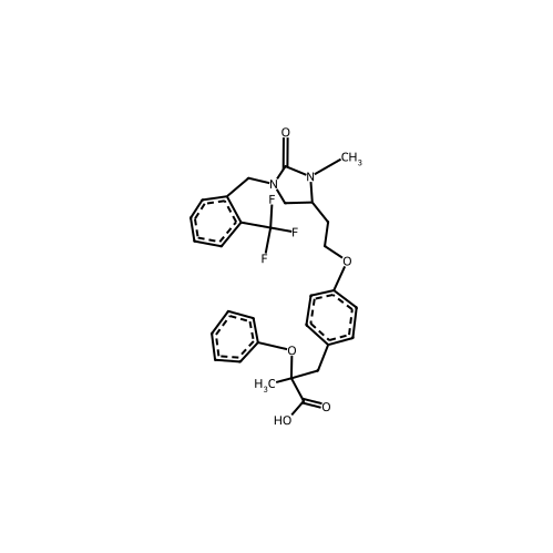 CN1C(=O)N(Cc2ccccc2C(F)(F)F)CC1CCOc1ccc(CC(C)(Oc2ccccc2)C(=O)O)cc1